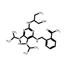 CCC(CO)Nc1nc(NCc2ccccc2C(C)=O)c2c(n1)N(C(C)C)NN2C(C)C